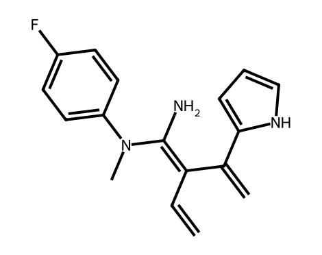 C=C/C(C(=C)c1ccc[nH]1)=C(/N)N(C)c1ccc(F)cc1